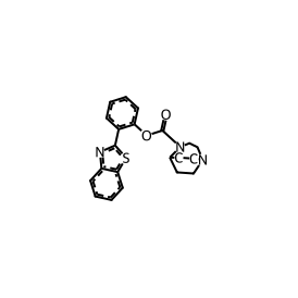 O=C(Oc1ccccc1-c1nc2ccccc2s1)N1CCN2CCC1CC2